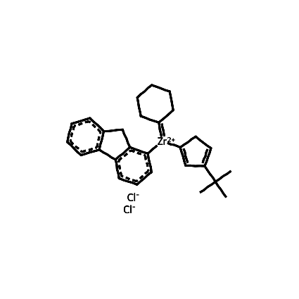 CC(C)(C)C1=CC[C]([Zr+2](=[C]2CCCCC2)[c]2cccc3c2Cc2ccccc2-3)=C1.[Cl-].[Cl-]